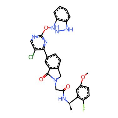 COc1ccc(F)c([C@@H](C)NC(=O)CN2Cc3ccc(-c4nc(ON5NNc6ccccc65)ncc4Cl)cc3C2=O)c1